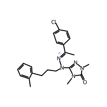 C/C(=N\N(CCCc1ccccc1C)c1nn(C)c(=O)n1C)c1ccc(Cl)cc1